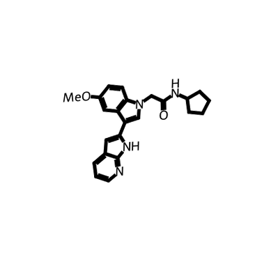 COc1ccc2c(c1)c(-c1cc3cccnc3[nH]1)cn2CC(=O)NC1CCCC1